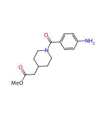 COC(=O)CC1CCN(C(=O)c2ccc(N)cc2)CC1